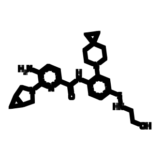 Nc1ccc(C(=O)Nc2ccc(SNCCO)cc2N2CCC3(CC2)CC3)nc1N1CC2CC2C1